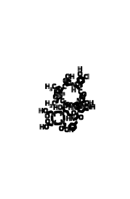 CCC(=O)[C@@H]1CSSC[C@H](NC(=O)[C@@H](CC(=O)[C@H](Cc2ccccc2)NC(=O)CCC(C(=O)O)N2CCN(CC(=O)O)CCN(CC(=O)O)CCN(CC(=O)O)CC2)Cc2c[nH]cn2)C(=O)N2C[C@H](O)C[C@H]2C(=O)C[C@@H](Cc2ccc(O)c(Cl)c2)C(=O)N[C@@H](CC(=O)O)C(=O)C[C@@H](CC(C)C)C(=O)N1